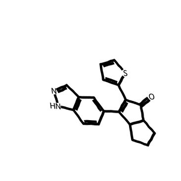 O=C1C(c2cccs2)=C(c2ccc3[nH]ncc3c2)C2CCCC12